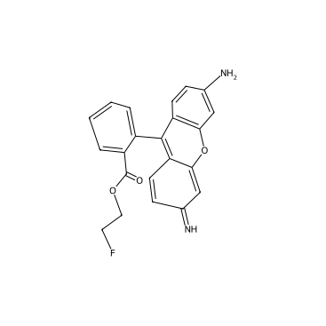 N=c1ccc2c(-c3ccccc3C(=O)OCCF)c3ccc(N)cc3oc-2c1